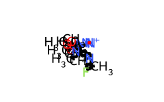 Cc1cc(F)ccc1CN1CCc2cc(-c3c(CN=[N+]=[N-])nc(C)c(C(OC(C)(C)C)C(=O)OC(C)C)c3N3CCC(C)(C)CC3)ccc2C1